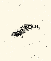 Cc1ccc(S(=O)(=O)n2ccc3c(NC4CCC5CCC4N5C)ncnc32)cc1